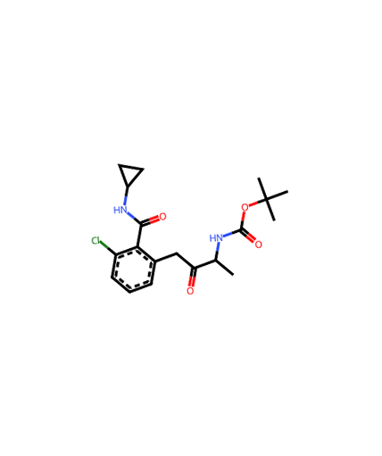 CC(NC(=O)OC(C)(C)C)C(=O)Cc1cccc(Cl)c1C(=O)NC1CC1